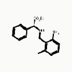 CCOC(=O)[C@@H](NCc1c(C)cccc1N)c1ccccc1